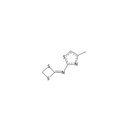 Cc1csc(N=C2SCS2)n1